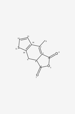 CC1=C2C(=O)OC(=O)C2Cc2sccc21